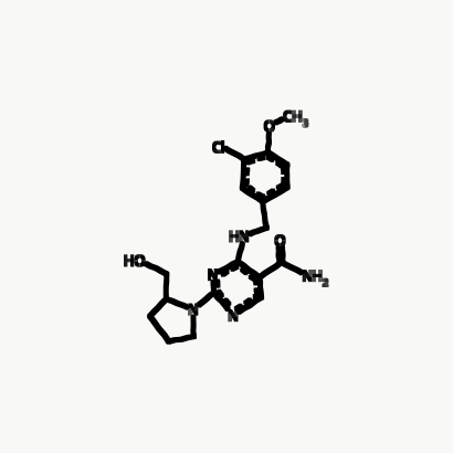 COc1ccc(CNc2nc(N3CCCC3CO)ncc2C(N)=O)cc1Cl